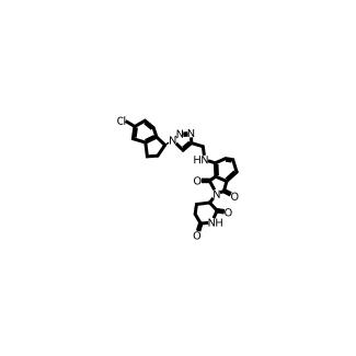 O=C1CCC(N2C(=O)c3cccc(NCc4cn([C@@H]5CCc6cc(Cl)ccc65)nn4)c3C2=O)C(=O)N1